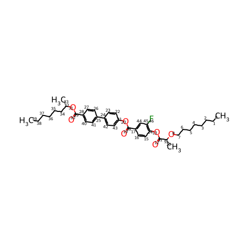 CCCCCCCCO[C@@H](C)C(=O)Oc1ccc(C(=O)Oc2ccc(-c3ccc(C(=O)O[C@@H](C)CCCCCC)cc3)cc2)cc1F